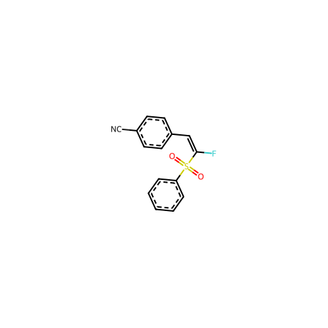 N#Cc1ccc(C=C(F)S(=O)(=O)c2ccccc2)cc1